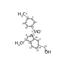 Cc1ccc([S+]([O-])n2cc(C)c3ccc(CO)cc32)cc1